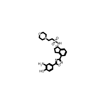 Nc1cc(-c2nc(-c3cccc4c3CC[C@@H]4NS(=O)(=O)CCN3CCOCC3)no2)ccc1O